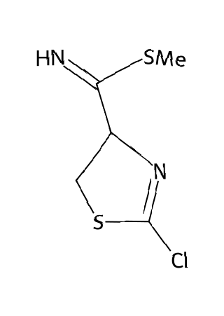 CSC(=N)C1CSC(Cl)=N1